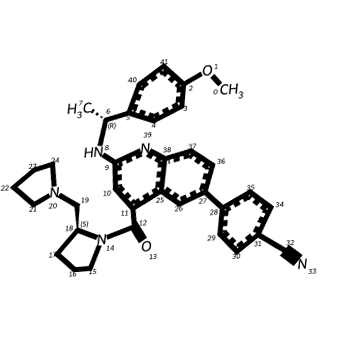 COc1ccc([C@@H](C)Nc2cc(C(=O)N3CCC[C@H]3CN3CCCC3)c3cc(-c4ccc(C#N)cc4)ccc3n2)cc1